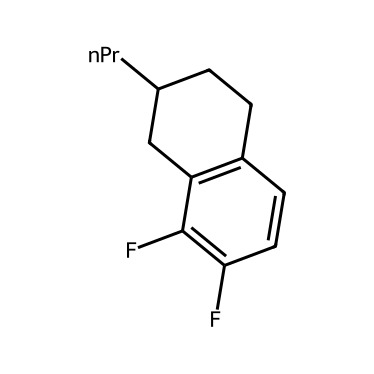 CCCC1CCc2ccc(F)c(F)c2C1